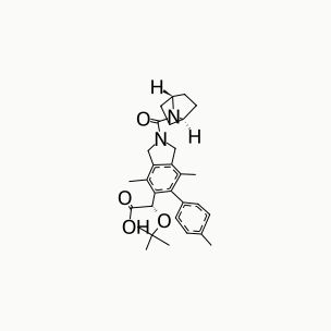 Cc1ccc(-c2c(C)c3c(c(C)c2[C@H](OC(C)(C)C)C(=O)O)CN(C(=O)N2[C@H]4CC[C@H]2CC4)C3)cc1